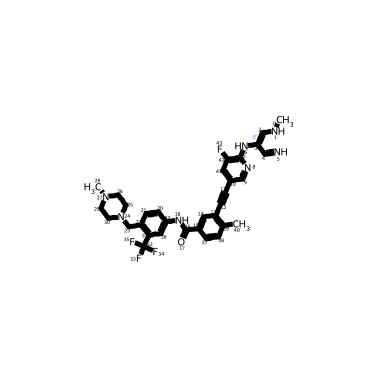 CN/C=C(\C=N)Nc1ncc(C#Cc2cc(C(=O)Nc3ccc(CN4CCN(C)CC4)c(C(F)(F)F)c3)ccc2C)cc1F